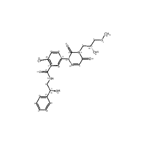 COC[C@H](O)Cn1c(=O)cnn(-c2ccc(Cl)c(C(=O)NC[C@@H](O)c3ccccc3)c2)c1=O